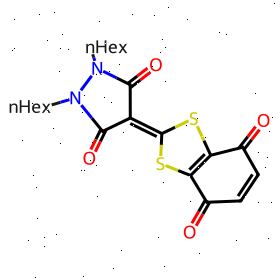 CCCCCCN1C(=O)C(=C2SC3=C(S2)C(=O)C=CC3=O)C(=O)N1CCCCCC